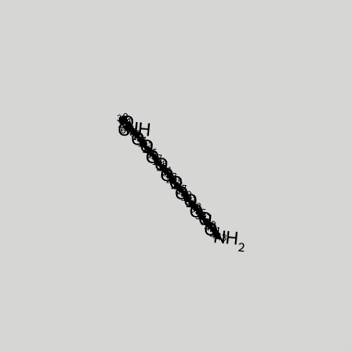 CC(C)(C)OC(=O)NCCOCCOCCOCCOCCOCCOCCOCCOCCOCCOCCOCCN